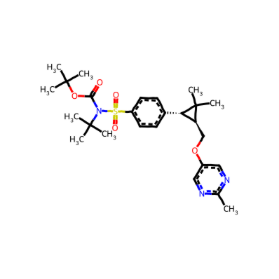 Cc1ncc(OC[C@H]2[C@H](c3ccc(S(=O)(=O)N(C(=O)OC(C)(C)C)C(C)(C)C)cc3)C2(C)C)cn1